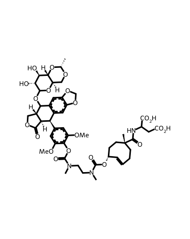 COc1cc([C@@H]2c3cc4c(cc3C(OC3O[C@@H]5CO[C@@H](C)O[C@H]5[C@H](O)[C@H]3O)[C@H]3COC(=O)[C@H]23)OCO4)cc(OC)c1OC(=O)N(C)CCN(C)C(=O)O[C@H]1/C=C/CC[C@@](C)(C(=O)NC(CC(=O)O)C(=O)O)CC1